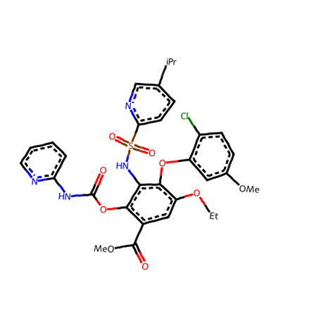 CCOc1cc(C(=O)OC)c(OC(=O)Nc2ccccn2)c(NS(=O)(=O)c2ccc(C(C)C)cn2)c1Oc1cc(OC)ccc1Cl